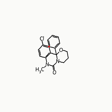 CN1C(=O)N2CCCOC2(c2ccccc2)c2cc(Cl)ccc21